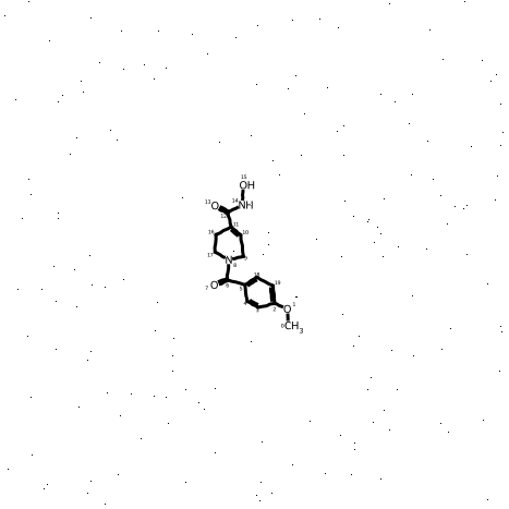 COc1ccc(C(=O)N2CC=C(C(=O)NO)CC2)cc1